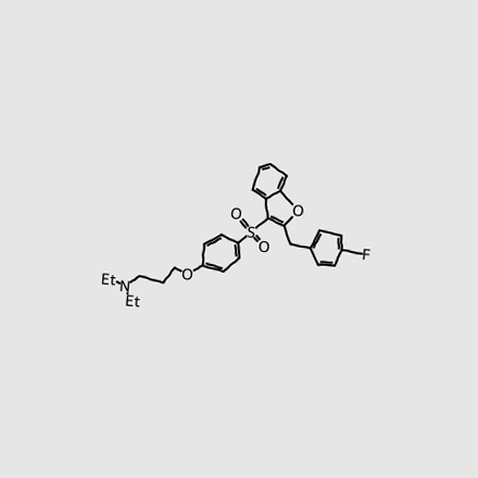 CCN(CC)CCCOc1ccc(S(=O)(=O)c2c(Cc3ccc(F)cc3)oc3ccccc23)cc1